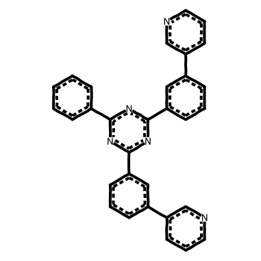 c1ccc(-c2nc(-c3cccc(-c4cccnc4)c3)nc(-c3cccc(-c4cccnc4)c3)n2)cc1